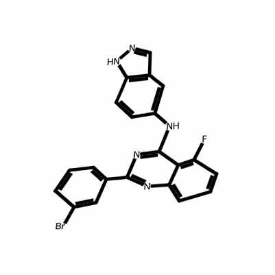 Fc1cccc2nc(-c3cccc(Br)c3)nc(Nc3ccc4[nH]ncc4c3)c12